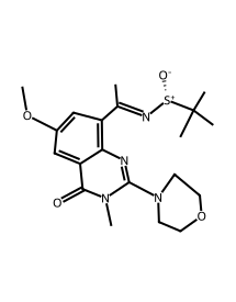 COc1cc(C(C)=N[S@+]([O-])C(C)(C)C)c2nc(N3CCOCC3)n(C)c(=O)c2c1